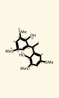 CSc1cc(SC)c(O)c(C(C)c2cc(SC)cc(SC)c2O)c1